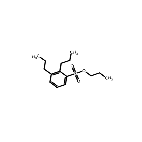 CCCOS(=O)(=O)c1cccc(CCC)c1CCC